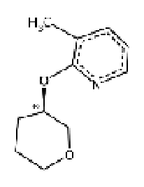 Cc1cccnc1O[C@@H]1CCCOC1